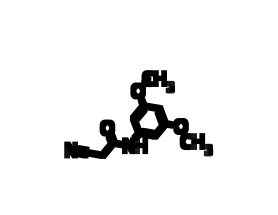 COc1cc(NC(=O)CC#N)cc(OC)c1